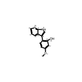 COc1ccc(-c2c[nH]c3ncccc23)c(O)c1